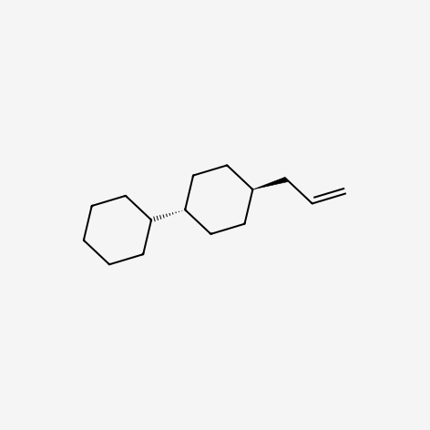 C=CC[C@H]1CC[C@H](C2CCCCC2)CC1